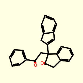 O=C(CC1(C2=Cc3ccccc3C2)C(=O)Cc2ccccc21)c1ccccc1